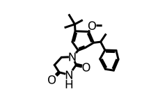 COc1c(C(C)c2ccccc2)cc(N2CCC(=O)NC2=O)cc1C(C)(C)C